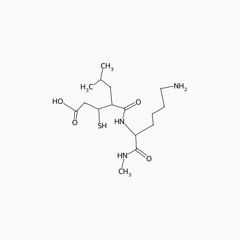 CNC(=O)C(CCCCN)NC(=O)C(CC(C)C)C(S)CC(=O)O